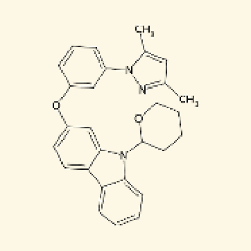 Cc1cc(C)n(-c2cccc(Oc3ccc4c5ccccc5n(C5CCCCO5)c4c3)c2)n1